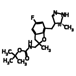 C[C@H]1NN=CC1Cc1cc(F)cc2c1OC(C)(CNC(=O)OC(C)(C)C)C2